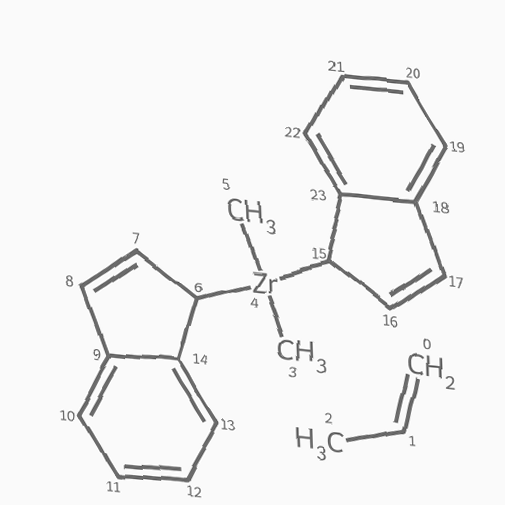 C=CC.[CH3][Zr]([CH3])([CH]1C=Cc2ccccc21)[CH]1C=Cc2ccccc21